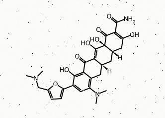 CN(C)Cc1ccc(-c2cc(N(C)C)c3c(c2O)C(=O)C2=C(O)[C@]4(O)C(=O)C(C(N)=O)=C(O)C[C@@H]4C[C@@H]2C3)o1